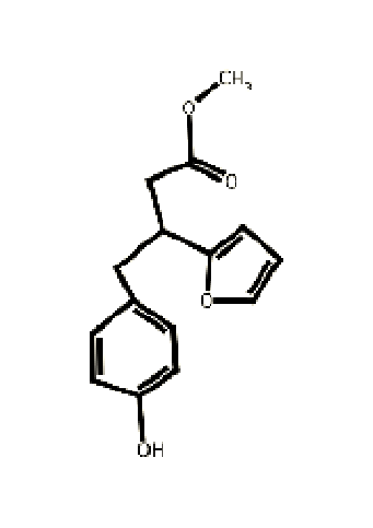 COC(=O)CC(Cc1ccc(O)cc1)c1ccco1